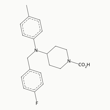 Cc1ccc(N(Cc2ccc(F)cc2)C2CCN(C(=O)O)CC2)cc1